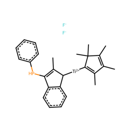 CC1=C(C)C(C)(C)[C]([Ti+2][CH]2C(C)=C(Pc3ccccc3)c3ccccc32)=C1C.[F-].[F-]